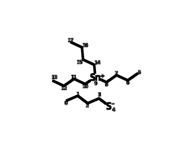 CCCC[S-].CCC[CH2][Sn+]([CH2]CCC)[CH2]CCC